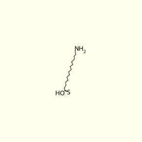 NCCCCCCCCCCCCCCCC(O)=S